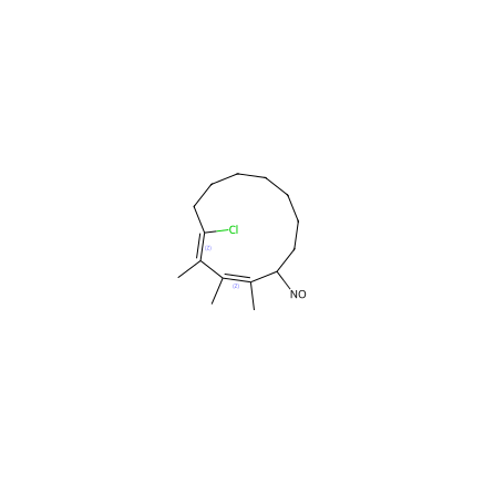 CC1=C(/Cl)CCCCCCCC(N=O)/C(C)=C\1C